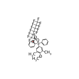 COc1c(C)cc(S(OS(=O)(=O)C(F)(F)C(F)(F)C(F)(F)C(F)(F)C(F)(F)C(F)(F)F)(c2ccccc2)c2ccccc2)cc1C